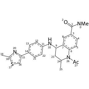 CNC(=O)c1ccc2c(c1)C(Nc1ccc(-c3csc(C)n3)cc1)CC(C)N2C(C)=O